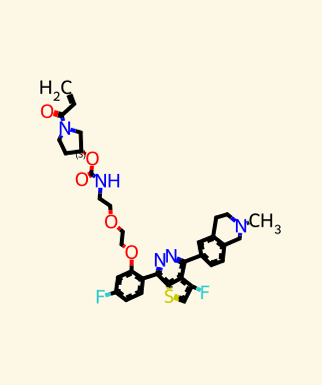 C=CC(=O)N1CC[C@H](OC(=O)NCCOCCOc2cc(F)ccc2-c2nnc(-c3ccc4c(c3)CCN(C)C4)c3c(F)csc23)C1